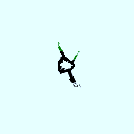 C#Cc1ccc(F)c(F)c1